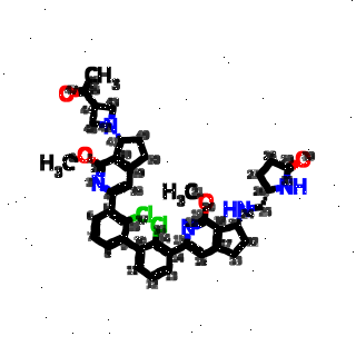 COc1nc(-c2cccc(-c3cccc(-c4cc5c(c(OC)n4)[C@H](NC[C@@H]4CCC(=O)N4)CC5)c3Cl)c2Cl)cc2c1[C@H](N1CC(C(C)=O)C1)CC2